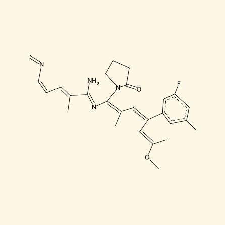 C=N\C=C/C=C(C)/C(N)=N/C(=C(C)/C=C(\C=C(/C)OC)c1cc(C)cc(F)c1)N1CCCC1=O